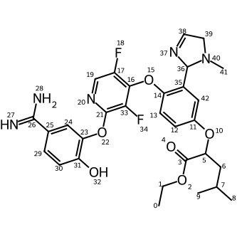 CCOC(=O)C(CC(C)C)Oc1ccc(Oc2c(F)cnc(Oc3cc(C(=N)N)ccc3O)c2F)c(C2N=CCN2C)c1